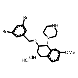 COc1ccc2c(c1)[C@@H](N1CCNCC1)[C@H](OCc1cc(Br)cc(Br)c1)CC2.Cl.Cl